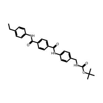 CCc1ccc(NC(=O)c2ccc(C(=O)Nc3ccc(CNC(=O)OC(C)(C)C)cc3)cc2)cc1